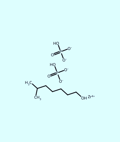 CC(C)CCCCCO.O=P([O-])([O-])O.O=P([O-])([O-])O.[Zr+4]